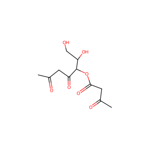 CC(=O)CC(=O)OC(C(=O)CC(C)=O)C(O)CO